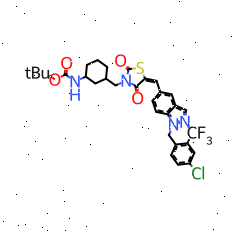 CC(C)(C)OC(=O)NC1CCCC(CN2C(=O)S/C(=C/c3ccc4c(cnn4Cc4ccc(Cl)cc4C(F)(F)F)c3)C2=O)C1